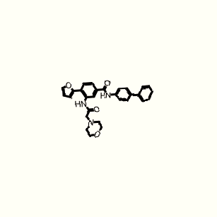 O=C(CN1CCOCC1)Nc1cc(C(=O)Nc2ccc(-c3ccccc3)cc2)ccc1-c1ccco1